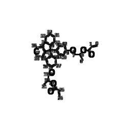 C=CC(=O)OC(C)COc1ccc(C2(c3ccc(OCC(C)OC(=O)C=C)cc3)c3ccccc3-c3ccccc32)cc1